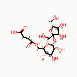 O=C(O)CCC(=O)OC[C@H]1O[C@H](O[C@]2(CO)O[C@H](CO)[C@@H](O)[C@@H]2O)[C@H](O)[C@@H](O)[C@@H]1O